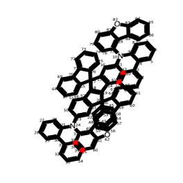 c1ccc(-c2ccccc2N(c2ccc3c(c2)C2(C4=C3C3(c5cc(N(c6ccccc6-c6ccccc6)c6cccc7oc8ccccc8c67)ccc54)c4ccccc4-c4ccccc43)c3ccccc3-c3ccccc32)c2cccc3oc4ccccc4c23)cc1